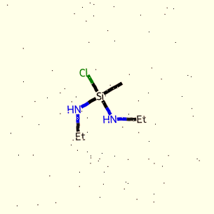 CCN[Si](C)(Cl)NCC